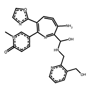 Cn1cc(C2=C(c3ncco3)C=C=C(N)C(C(O)NCc3ncccc3CO)=N2)ccc1=O